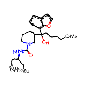 CNCC(CC(C)(C)C)NC(=O)N1CCCC(C(O)(CCCCOC)c2cccc3ccoc23)C1